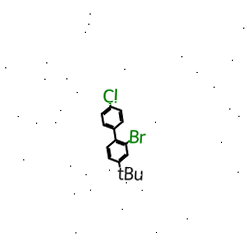 CC(C)(C)c1ccc(-c2ccc(Cl)cc2)c(Br)c1